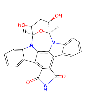 C[C@]12O[C@H]([C@H](O)C[C@H]1O)n1c3ccccc3c3c4c(c5c6ccccc6n2c5c31)C(=O)NC4=O